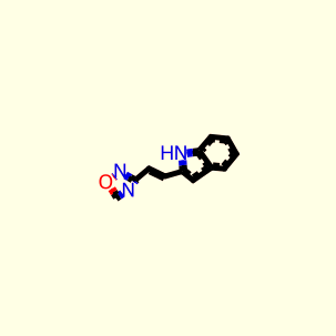 C(=C\c1cc2ccccc2[nH]1)/c1ncon1